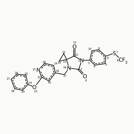 O=C1N(c2ccc(SC(F)(F)F)cc2)C(=O)C2(CC2)N1Cc1ccnc(Oc2ccccc2)c1